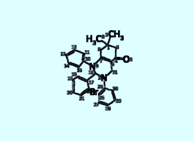 CC1(C)CC(=O)C2=C(C1)N(c1ccccc1)C(c1ccccc1Br)N(c1ccccc1)C2